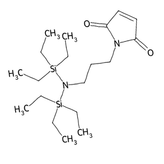 CC[Si](CC)(CC)N(CCCN1C(=O)C=CC1=O)[Si](CC)(CC)CC